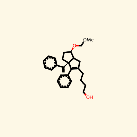 C=C(c1ccccc1)[C@@]12CC[C@@H](OCOC)C1CC(CCCCO)=C2c1ccccc1